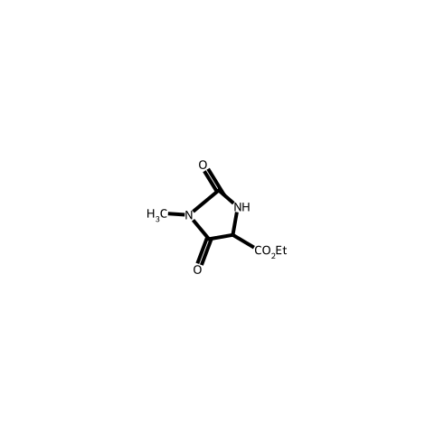 CCOC(=O)C1NC(=O)N(C)C1=O